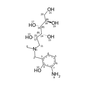 CN(Cc1cccc(N)c1O)C[C@H](O)[C@@H](O)[C@H](O)[C@H](O)CO